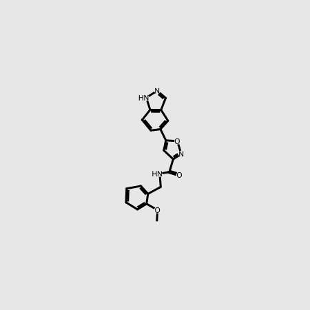 COc1ccccc1CNC(=O)c1cc(-c2ccc3[nH]ncc3c2)on1